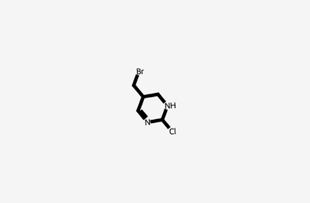 ClC1N=CC(CBr)CN1